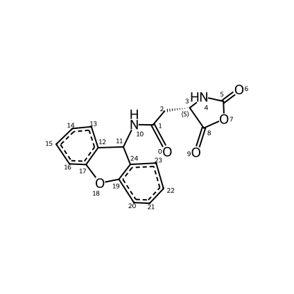 O=C(C[C@@H]1NC(=O)OC1=O)NC1c2ccccc2Oc2ccccc21